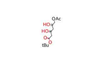 CC(=O)OC[C@@H](O)C[C@@H](O)CC(=O)OC(C)(C)C